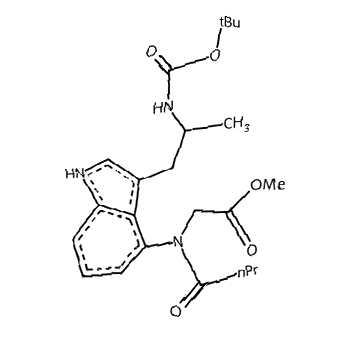 CCCC(=O)N(CC(=O)OC)c1cccc2[nH]cc(CC(C)NC(=O)OC(C)(C)C)c12